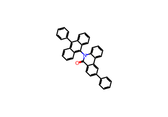 O=c1c2ccc(-c3ccccc3)cc2c2ccccc2n1-c1c2ccccc2c(-c2ccccc2)c2ccccc12